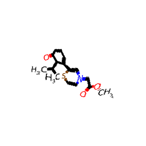 COC(=O)CN1C=CSC(C2=CC=CC(=O)C2C(C)C)=C1